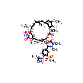 COc1cc2cc(c1Cl)N(C)C(=O)C[C@H](OC(=O)[C@H](C)N(C)C(=O)c1ccc(NC(C)C)c(S(C)(=O)=O)c1)[C@]1(C)O[C@H]1[C@H](C)[C@@H]1C[C@@](O)(NC(=O)O1)[C@H](OC)/C=C/C=C(\C)C2